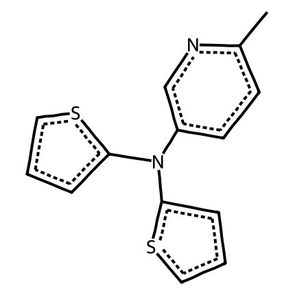 Cc1ccc(N(c2cccs2)c2cccs2)cn1